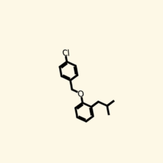 CC(C)Cc1ccccc1OCc1ccc(Cl)cc1